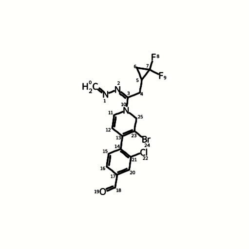 C=N/N=C(/CC1CC1(F)F)N1C=CC(c2ccc(C=O)cc2Cl)=C(Br)C1